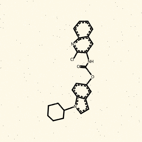 O=C(Nc1cc2ccccc2nc1Cl)Oc1ccc2c(ccn2C2CCCCC2)c1